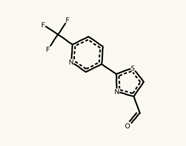 O=Cc1csc(-c2ccc(C(F)(F)F)nc2)n1